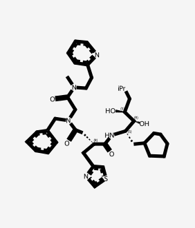 CC(C)C[C@H](O)[C@H](O)[C@H](CC1CCCCC1)NC(=O)[C@@H](CC(=O)N(CC(=O)N(C)CCc1ccccn1)Cc1ccccc1)Cc1cscn1